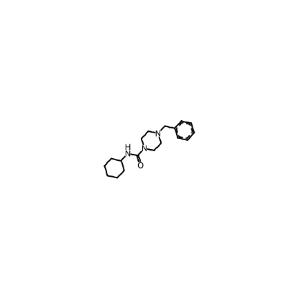 O=C(NC1CCCCC1)N1CCN(Cc2ccccc2)CC1